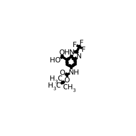 CC(C)(C)OC(=O)Nc1cc(C(=O)O)c2[nH]c(C(F)(F)F)nc2c1